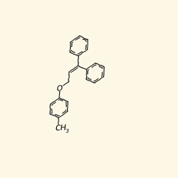 Cc1ccc(OCC=C(c2ccccc2)c2ccccc2)cc1